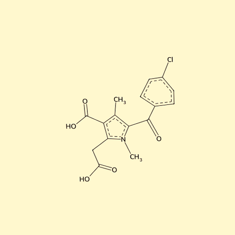 Cc1c(C(=O)O)c(CC(=O)O)n(C)c1C(=O)c1ccc(Cl)cc1